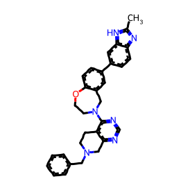 Cc1nc2ccc(-c3ccc4c(c3)CN(c3ncnc5c3CCN(Cc3ccccc3)C5)CCO4)cc2[nH]1